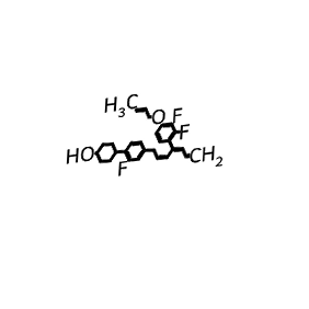 C=C/C=C(\C=C/Cc1ccc(C2CCC(O)CC2)c(F)c1)c1ccc(OC/C=C/C)c(F)c1F